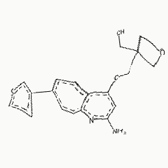 Nc1cc(OCC2(CO)COC2)c2ccc(-c3ccsc3)cc2n1